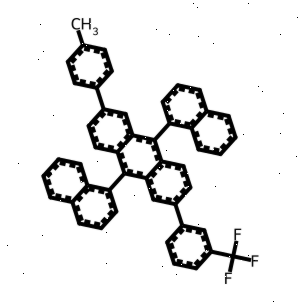 Cc1ccc(-c2ccc3c(-c4cccc5ccccc45)c4cc(-c5cccc(C(F)(F)F)c5)ccc4c(-c4cccc5ccccc45)c3c2)cc1